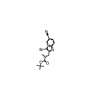 CN(Cc1nc2ccc(C#N)cn2c1Br)C(=O)OC(C)(C)C